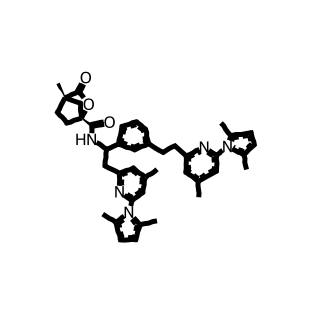 Cc1cc(CCc2cccc(C(Cc3cc(C)cc(-n4c(C)ccc4C)n3)NC(=O)[C@@]34CC[C@@](C)(C3)C(=O)O4)c2)nc(-n2c(C)ccc2C)c1